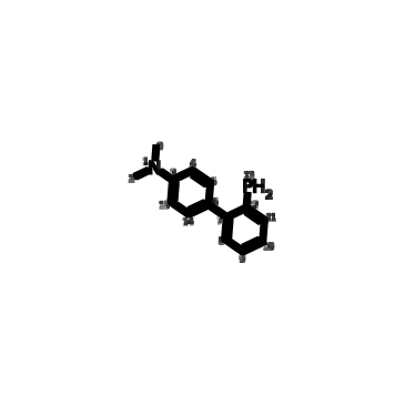 CN(C)c1ccc(-c2ccccc2P)cc1